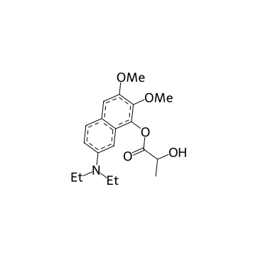 CCN(CC)c1ccc2cc(OC)c(OC)c(OC(=O)C(C)O)c2c1